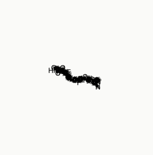 CC1(C)C(NC(=O)c2ccc(N3CCC(CN4CCN(c5cc6c(cc5F)C(=O)N(C5CCC(=O)NC5=O)C6)CC4)CC3)c(F)c2)C(C)(C)C1Oc1ccc(C#N)c2ncccc12